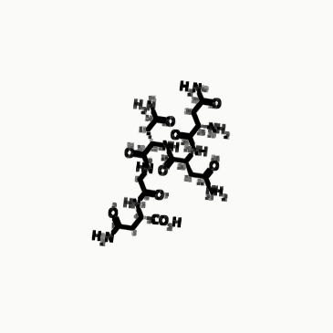 NC(=O)C[C@H](NC(=O)CNC(=O)[C@H](CC(N)=O)NC(=O)[C@H](CC(N)=O)NC(=O)[C@@H](N)CC(N)=O)C(=O)O